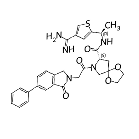 C[C@@H](NC(=O)[C@@H]1CC2(CN1C(=O)CN1Cc3ccc(-c4ccccc4)cc3C1=O)OCCO2)c1cc(C(=N)N)cs1